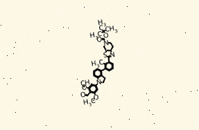 COc1cc(N2CCc3c(-c4cccc(C5=NC6CCN(C(=O)OC(C)(C)C)CC6S5)c4C)cccc32)cc(OC)c1C=O